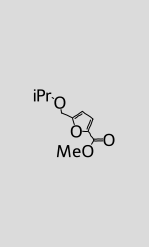 COC(=O)c1ccc(COC(C)C)o1